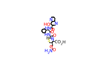 NC(=O)OCC1=C(C(=O)O)N2C(=O)C(NC(=O)C(NC(=O)c3cnc4cccnc4c3O)c3ccccc3)[C@@H]2SC1